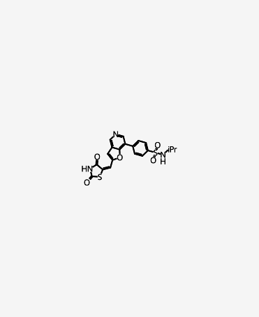 CC(C)NS(=O)(=O)c1ccc(-c2cncc3cc(C=C4SC(=O)NC4=O)oc23)cc1